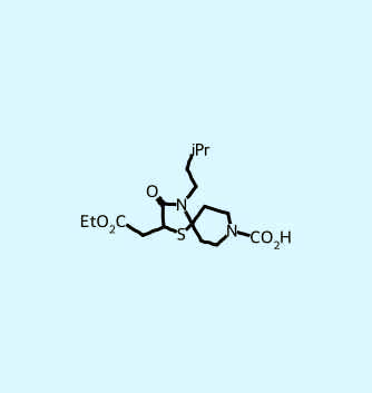 CCOC(=O)CC1SC2(CCN(C(=O)O)CC2)N(CCC(C)C)C1=O